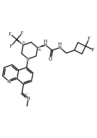 C/N=C/c1ccc(N2C[C@H](NC(=O)NCC3CC(F)(F)C3)C[C@H](C(F)(F)F)C2)c2cccnc12